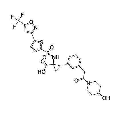 O=C(Cc1cccc([C@@H]2C[C@]2(NS(=O)(=O)c2ccc(-c3cc(C(F)(F)F)on3)s2)C(=O)O)c1)N1CCC(O)CC1